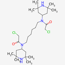 CC1(C)CC(N(CCCCCCN(C(=O)CCl)C2CC(C)(C)NC(C)(C)C2)C(=O)CCl)CC(C)(C)N1